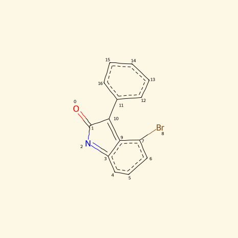 O=C1N=c2cccc(Br)c2=C1c1ccccc1